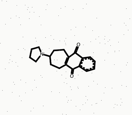 O=C1C2=C(CCC(N3CCCC3)CC2)C(=O)c2ccccc21